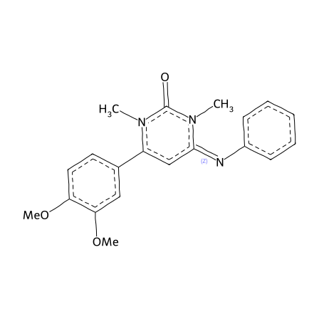 COc1ccc(-c2c/c(=N/c3ccccc3)n(C)c(=O)n2C)cc1OC